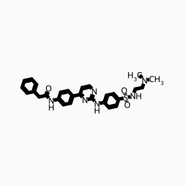 CN(C)CCNS(=O)(=O)c1ccc(Nc2nccc(-c3ccc(NC(=O)Cc4ccccc4)cc3)n2)cc1